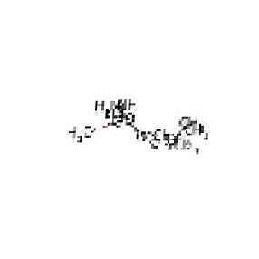 CCCCCCCCOC[C@@H](CNC(=N)N)OCCCCO[C@H]1CC[C@@]2(C)C(=CCC3C2CC[C@@]2(C)C3CC[C@@H]2[C@H](C)CCCC(C)C)C1